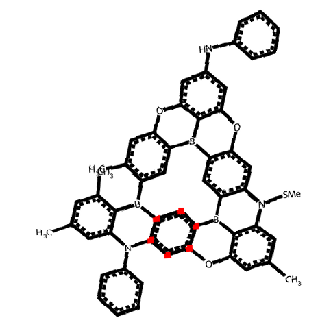 CSN1c2cc3c(cc2B2c4ccccc4Oc4cc(C)cc1c42)B1c2cc(B4c5ccccc5N(c5ccccc5)c5cc(C)cc(C)c54)c(C)cc2Oc2cc(Nc4ccccc4)cc(c21)O3